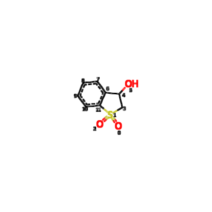 O=S1(=O)CC(O)c2ccccc21